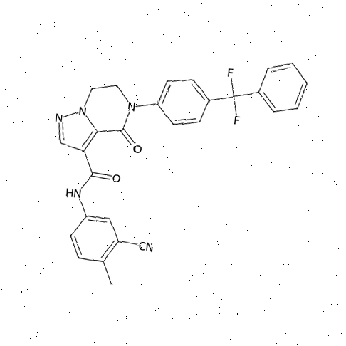 Cc1ccc(NC(=O)c2cnn3c2C(=O)N(c2ccc(C(F)(F)c4ccccc4)cc2)CC3)cc1C#N